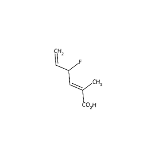 C=CC(F)C=C(C)C(=O)O